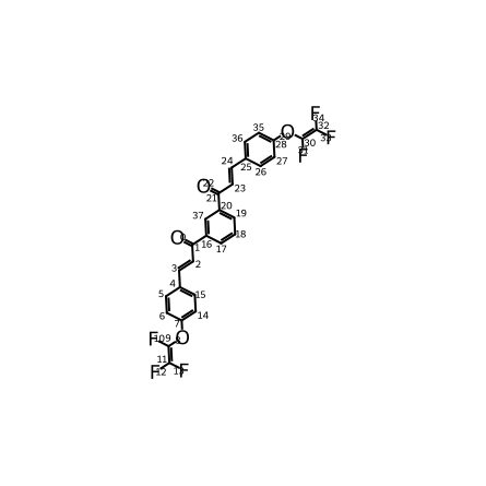 O=C(C=Cc1ccc(OC(F)=C(F)F)cc1)c1cccc(C(=O)C=Cc2ccc(OC(F)=C(F)F)cc2)c1